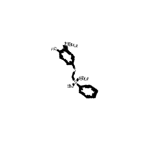 CC(C)(C)c1cc(SC[Si](c2ccccc2)(C(C)(C)C)C(C)(C)C)ccc1O